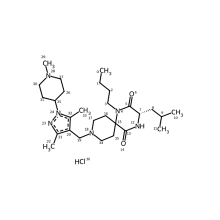 CCCCN1C(=O)[C@H](CC(C)C)NC(=O)C12CCN(Cc1c(C)nn(C3CCN(C)CC3)c1C)CC2.Cl